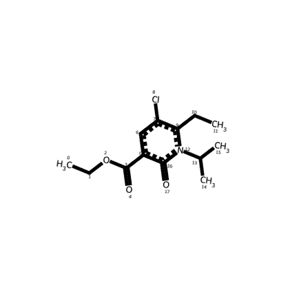 CCOC(=O)c1cc(Cl)c(CC)n(C(C)C)c1=O